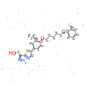 N[C@@H](CO)c1nnc(-c2ccc(OCCCCCOc3ccccc3F)c(C(F)(F)F)c2)s1